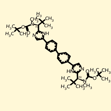 CN(C(=O)OC(C)(C)C)[C@H](c1ncc(-c2ccc(-c3ccc(-c4cnc([C@@H](N(C)C(=O)OC(C)(C)C)C(C)(C)C)[nH]4)cc3)cc2)[nH]1)C(C)(C)C